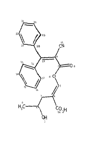 CC(O)CC(=COC(=O)C(C#N)=C(c1ccccc1)c1ccccc1)C(=O)O